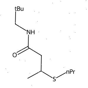 CCCSC(C)CC(=O)NCC(C)(C)C